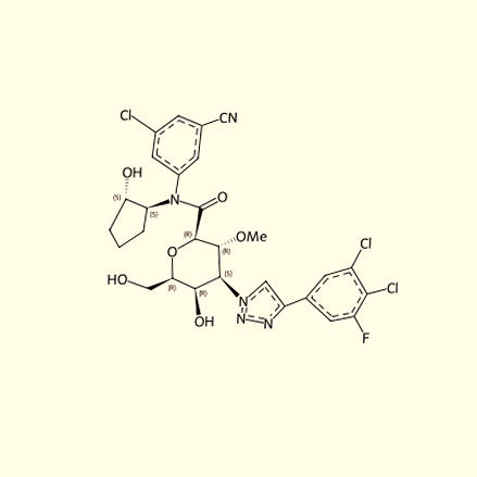 CO[C@@H]1[C@@H](n2cc(-c3cc(F)c(Cl)c(Cl)c3)nn2)[C@@H](O)[C@@H](CO)O[C@H]1C(=O)N(c1cc(Cl)cc(C#N)c1)[C@H]1CCC[C@@H]1O